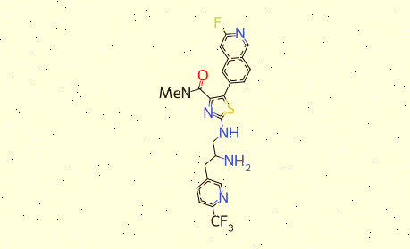 CNC(=O)c1nc(NCC(N)Cc2ccc(C(F)(F)F)nc2)sc1-c1ccc2cnc(F)cc2c1